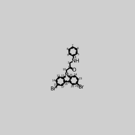 O=C(CNc1ccccc1)Cn1c2ccc(Br)cc2c2cc(Br)ccc21